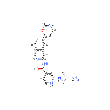 NC1CN(c2cc(C(=O)Nc3cc4cc(C5=CCN=CO5)ccc4cn3)ccn2)C1